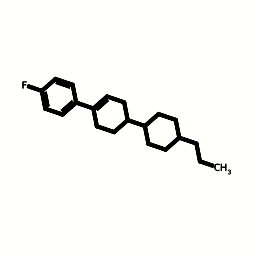 CCCC1CCC(C2CC=C(c3ccc(F)cc3)CC2)CC1